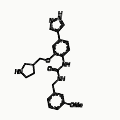 COc1cccc(CNC(=O)Nc2ccc(-c3cn[nH]c3)cc2OCC2CCNC2)c1